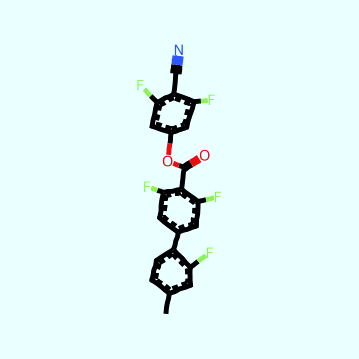 Cc1ccc(-c2cc(F)c(C(=O)Oc3cc(F)c(C#N)c(F)c3)c(F)c2)c(F)c1